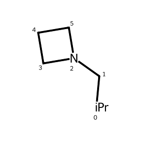 CC(C)CN1CCC1